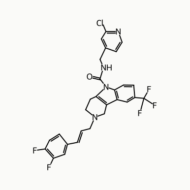 O=C(NCc1ccnc(Cl)c1)n1c2c(c3cc(C(F)(F)F)ccc31)CN(CC=Cc1ccc(F)c(F)c1)CC2